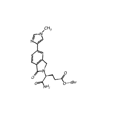 Cn1cnc(-c2ccc3c(c2)CN([C@@H](CCC(=O)OC(C)(C)C)C(N)=O)C3=O)c1